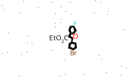 CCOC(=O)c1c(-c2ccc(Br)cc2)oc2cc(F)ccc12